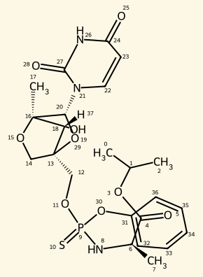 CC(C)OC(=O)[C@@H](C)NP(=S)(OC[C@]12CO[C@](C)([C@@H]1O)[C@H](n1ccc(=O)[nH]c1=O)O2)Oc1ccccc1